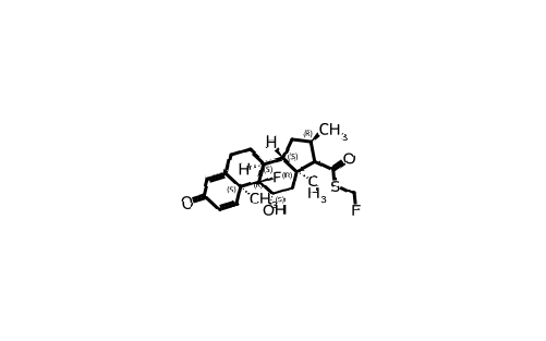 C[C@@H]1C[C@H]2[C@@H]3CCC4=CC(=O)C=C[C@]4(C)[C@@]3(F)[C@@H](O)C[C@]2(C)[C]1C(=O)SCF